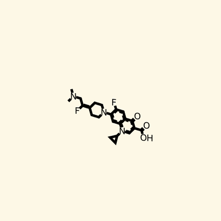 CN(C)CC(F)=C1CCN(c2cc3c(cc2F)c(=O)c(C(=O)O)cn3C2CC2)CC1